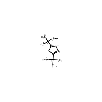 CCCCCCC(C)(C)c1nnc(C(C)(C)CCCCCC)s1